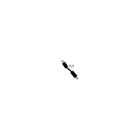 N#CC#N.S